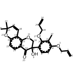 C=CCOc1ccc(C2(O)COc3c(ccc4c3C=CC(C)(C)O4)C2=O)c(OCC=C)c1C